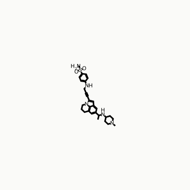 CC(NC1CCN(C)CC1)c1cc2c3c(c1)cc(C#CCNc1ccc(S(N)(=O)=O)cc1)n3CCC2